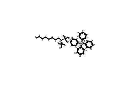 CCCCCCCC[PH+](C(C)(C)C)C(C)(C)C.c1ccc([B-](c2ccccc2)(c2ccccc2)c2ccccc2)cc1